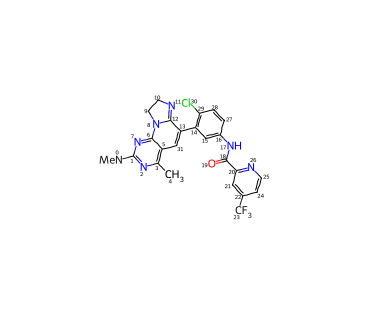 CNc1nc(C)c2c(n1)N1CCN=C1C(c1cc(NC(=O)c3cc(C(F)(F)F)ccn3)ccc1Cl)=C2